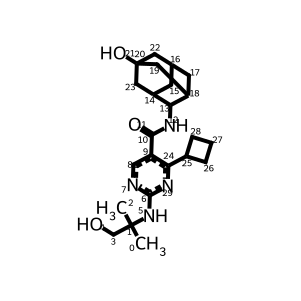 CC(C)(CO)Nc1ncc(C(=O)NC2C3CC4CC2CC(O)(C4)C3)c(C2CCC2)n1